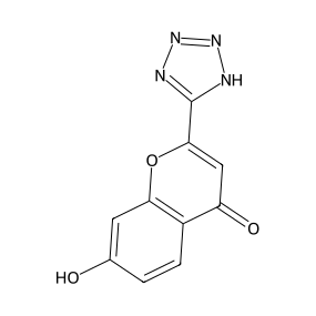 O=c1cc(-c2nnn[nH]2)oc2cc(O)ccc12